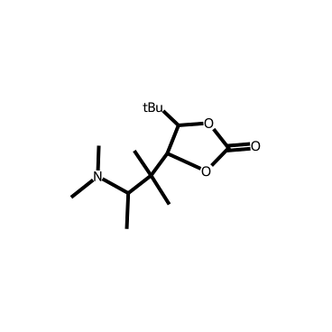 CC(N(C)C)C(C)(C)C1OC(=O)OC1C(C)(C)C